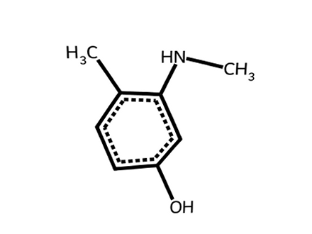 CNc1cc(O)ccc1C